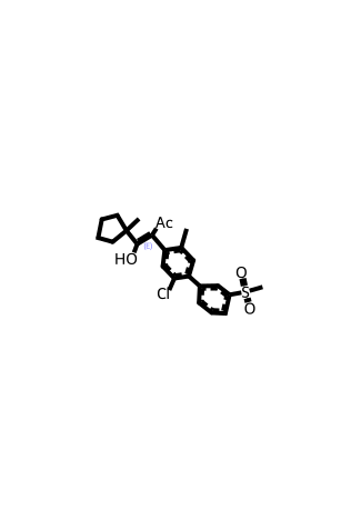 CC(=O)/C(=C(/O)C1(C)CCCC1)c1cc(Cl)c(-c2cccc(S(C)(=O)=O)c2)cc1C